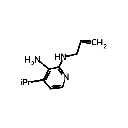 C=CCNc1nccc(C(C)C)c1N